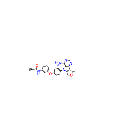 CC(C)C(=O)Nc1cccc(Oc2ccc(-n3c4c(c5ncnc(N)c53)C(C)OC4)cc2)c1